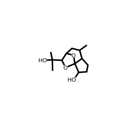 CC1CC2OC3(OC2C(C)(C)O)C(O)CCC13